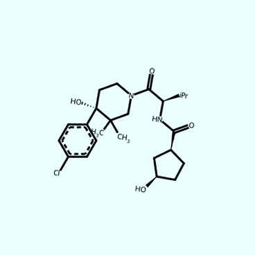 CC(C)[C@@H](NC(=O)[C@H]1CC[C@@H](O)C1)C(=O)N1CC[C@](O)(c2ccc(Cl)cc2)C(C)(C)C1